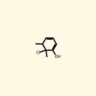 CC1C=CC=C(O)C1(C)Cl